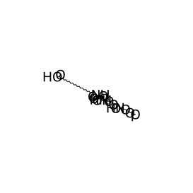 O=C(O)CCCCCCCCCCCCCCCCCCCCC(=O)NC(CCC(=O)NCCOCCOCC(=O)CNCCOCCOCC(=O)I)C(=O)O